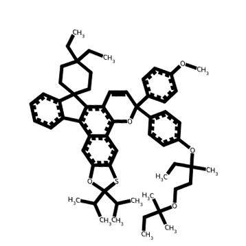 CCC1(CC)CCC2(CC1)c1ccccc1-c1c2c2c(c3cc4c(cc13)OC(C(C)C)(C(C)C)S4)OC(c1ccc(OC)cc1)(c1ccc(OC(C)(CC)CCOC(C)(C)CC)cc1)C=C2